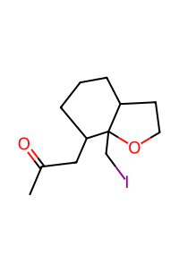 CC(=O)CC1CCCC2CCOC21CI